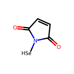 O=C1C=CC(=O)N1[SeH]